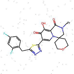 CC(C)N1CC2(CCOCC2)n2cc(-c3nnc(Cc4ccc(F)cc4F)s3)c(=O)c(O)c2C1=O